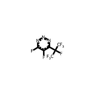 Fc1nnnc(C(F)(C(F)(F)F)C(F)(F)F)c1F